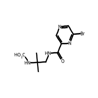 CC(C)(CNC(=O)c1cncc(Br)n1)NC(=O)O